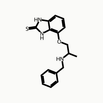 CC(COc1cccc2[nH]c(=S)[nH]c12)NCc1ccccc1